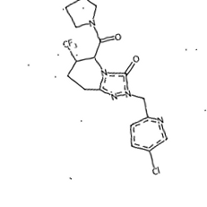 O=C(C1C(C(F)(F)F)CCc2nn(Cc3ccc(Cl)cn3)c(=O)n21)N1CCCC1